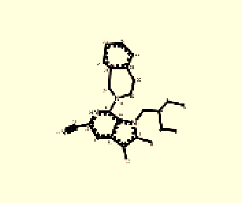 CCC(CC)Cn1c(C)c(C)c2cc(C#N)nc(N3CCc4ccccc4C3)c21